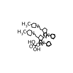 CC1CCN(CCC2CCc3c2cnn3-c2ccccc2)CC1.CC1CCN(CCC2CCc3c2cnn3-c2ccccc2)CC1.O=C(O)C(=O)O